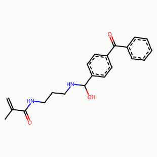 C=C(C)C(=O)NCCCNC(O)c1ccc(C(=O)c2ccccc2)cc1